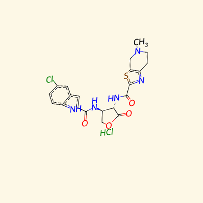 CN1CCc2nc(C(=O)N[C@@H]3C(=O)OC[C@H]3NC(=O)c3cc4cc(Cl)ccc4[nH]3)sc2C1.Cl